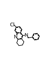 Clc1ccc2c(/N=C/c3ccccc3)c3c(nc2c1)CCCC3